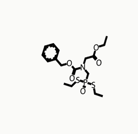 CCOC(=O)CN(CP(=O)(SCC)SCC)C(=O)OCc1ccccc1